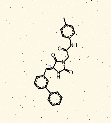 Cc1ccc(NC(=O)CN2C(=O)N/C(=C\c3cccc(-c4ccccc4)c3)C2=O)cc1